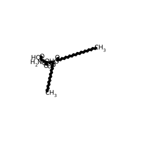 CCCCCCCCCCCCCCCCCCCCC(=O)OC[C@H](COP(=O)(O)OC[C@H](N)C(=O)O)OC(=O)CCCCCCCCCCCCC